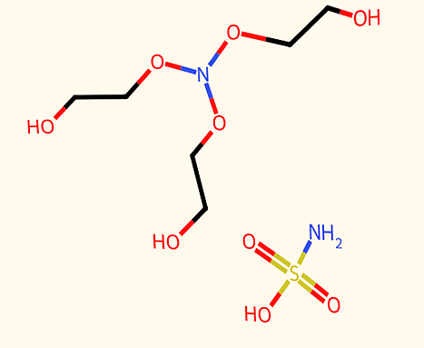 NS(=O)(=O)O.OCCON(OCCO)OCCO